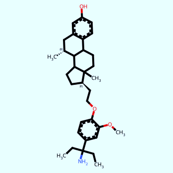 CCC(N)(CC)c1ccc(OCC[C@H]2CCC3C4C(CCC32C)c2ccc(O)cc2C[C@H]4C)c(OC)c1